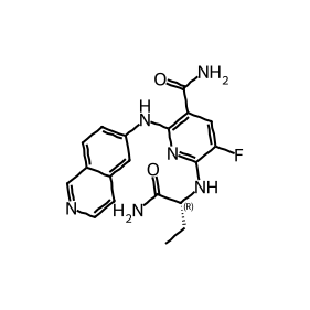 CC[C@@H](Nc1nc(Nc2ccc3cnccc3c2)c(C(N)=O)cc1F)C(N)=O